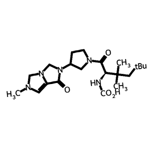 CN1C=C2C(=O)N(C3CCN(C(=O)[C@H](NC(=O)O)C(C)(C)CC(C)(C)C)C3)CN2C1